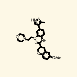 COc1ccc2c(c1)CC(C(=O)Nc1ccc(-c3c[nH]nc3C)cc1OCCN1CCOCC1)CO2